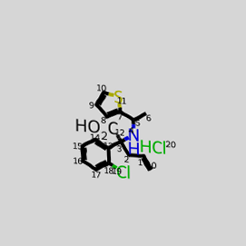 C=CCC(NC(C)c1cccs1)(C(=O)O)c1ccccc1Cl.Cl